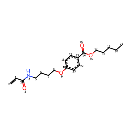 C=CC(=O)NCCCCOc1ccc(C(=O)OCCCCC)cc1